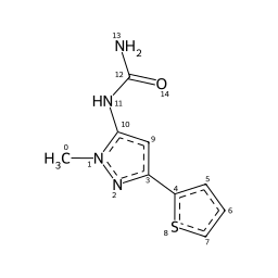 Cn1nc(-c2cccs2)cc1NC(N)=O